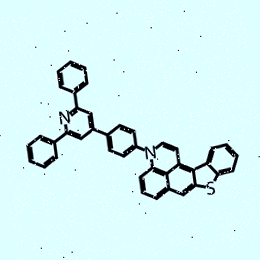 C1=CN(c2ccc(-c3cc(-c4ccccc4)nc(-c4ccccc4)c3)cc2)c2cccc3cc4sc5ccccc5c4c1c23